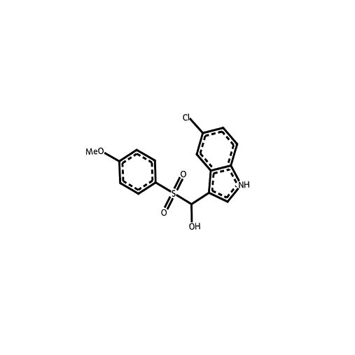 COc1ccc(S(=O)(=O)C(O)c2c[nH]c3ccc(Cl)cc23)cc1